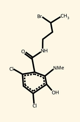 CNc1c(O)c(Cl)cc(Cl)c1C(=O)NCCC(C)Br